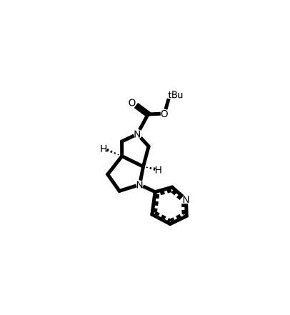 CC(C)(C)OC(=O)N1C[C@@H]2CCN(c3cccnc3)[C@@H]2C1